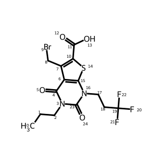 CCCn1c(=O)c2c(CBr)c(C(=O)O)sc2n(CCC(F)(F)F)c1=O